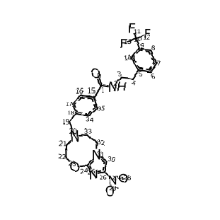 O=C(NCCc1cccc(C(F)(F)F)c1)c1ccc(CN2CCOc3nc([N+](=O)[O-])cn3CC2)cc1